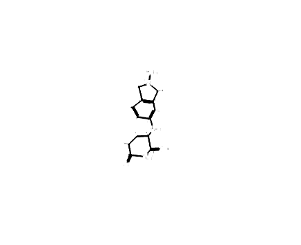 CN1Cc2ccc(NC3CCC(=O)NC3=O)cc2C1